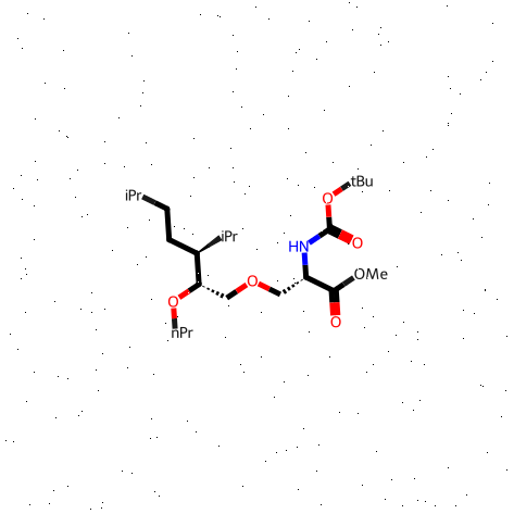 CCCO[C@@H](COC[C@H](NC(=O)OC(C)(C)C)C(=O)OC)[C@@H](CCC(C)C)C(C)C